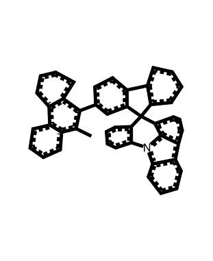 Cc1c(-c2ccc3c(c2)C2(c4ccccc4-3)c3ccccc3-n3c4ccccc4c4cccc2c43)c2ccccc2c2ccccc12